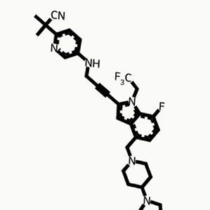 CC(C)(C#N)c1ccc(NCC#Cc2cc3c(CN4CCC(N5CCCC5)CC4)ccc(F)c3n2CC(F)(F)F)cn1